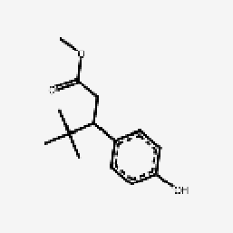 COC(=O)CC(c1ccc(O)cc1)C(C)(C)C